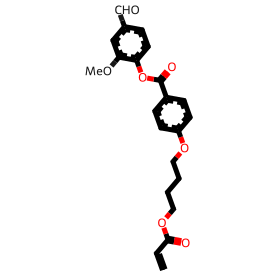 C=CC(=O)OCCCCOc1ccc(C(=O)Oc2ccc(C=O)cc2OC)cc1